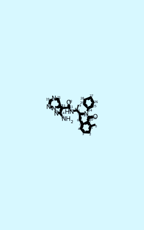 Cc1cccc2cc([C@H](C)NC(=O)c3c(N)nn4ncncc34)n(-c3ccccc3)c(=O)c12